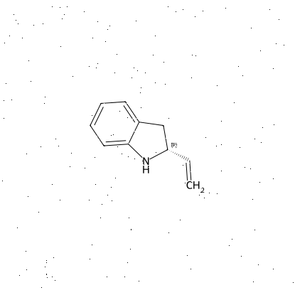 C=C[C@H]1Cc2ccccc2N1